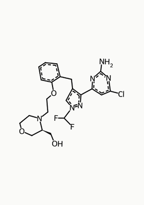 Nc1nc(Cl)cc(-c2nn(C(F)F)cc2Cc2ccccc2OCCN2CCOC[C@@H]2CO)n1